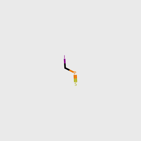 S=PCI